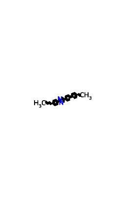 CCCCC[C@H]1CC[C@H](c2ncc([C@H]3CC[C@H]([C@H]4CC[C@H](CCC)CC4)CC3)cn2)CC1